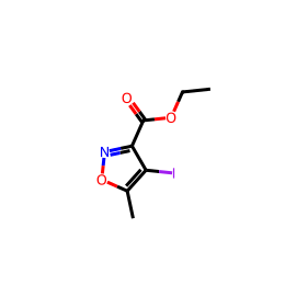 CCOC(=O)c1noc(C)c1I